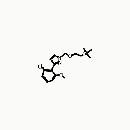 COc1cccc(Cl)c1-c1ccn(COCC[Si](C)(C)C)n1